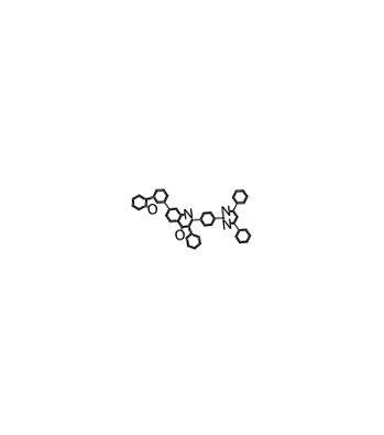 c1ccc(-c2cc(-c3ccccc3)nc(-c3ccc(-c4nc5cc(-c6cccc7c6oc6ccccc67)ccc5c5oc6ccccc6c45)cc3)n2)cc1